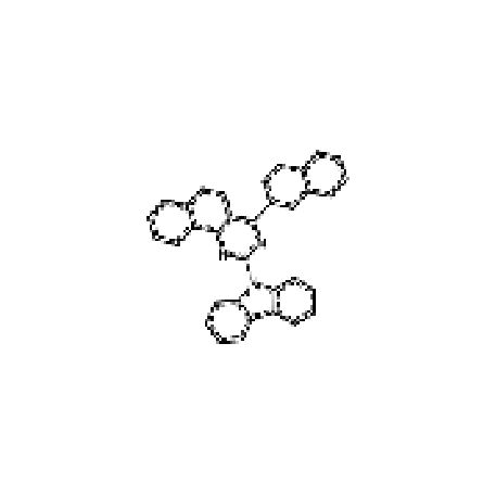 c1ccc2cc(-c3nc(-n4c5ccccc5c5ccccc54)nc4c3ccc3ccccc34)ccc2c1